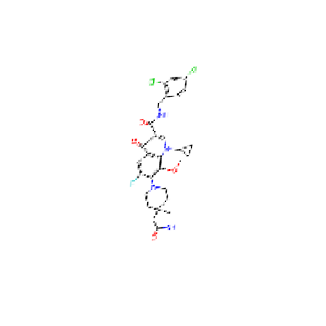 COc1c(N2CCC3(CC2)CNC(=O)C3)c(F)cc2c(=O)c(C(=O)NCc3ccc(Cl)cc3Cl)cn(C3CC3)c12